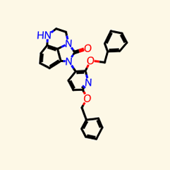 O=c1n2c3c(cccc3n1-c1ccc(OCc3ccccc3)nc1OCc1ccccc1)NCC2